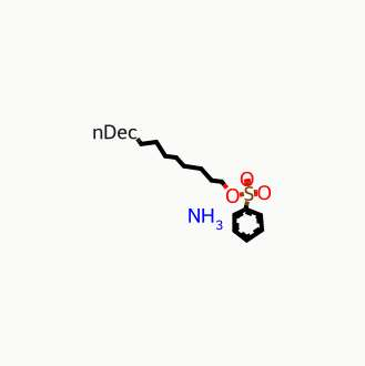 CCCCCCCCCCCCCCCCCCOS(=O)(=O)c1ccccc1.N